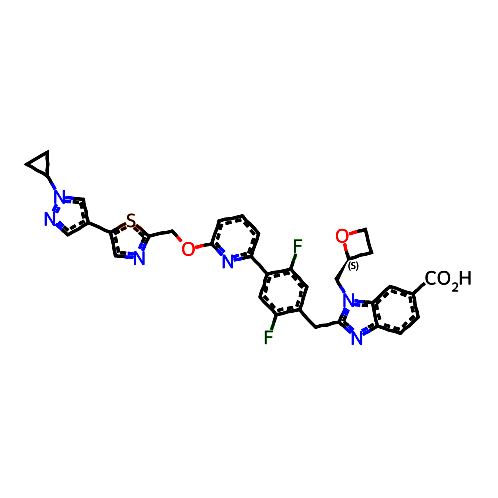 O=C(O)c1ccc2nc(Cc3cc(F)c(-c4cccc(OCc5ncc(-c6cnn(C7CC7)c6)s5)n4)cc3F)n(C[C@@H]3CCO3)c2c1